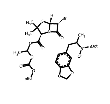 CCCCCCCC[S+]([O-])C(C)Cc1ccc2c(c1)OCO2.CCCCOC(=O)OC(C)OC(=O)[C@@H]1N2C(=O)[C@@H](Br)[C@H]2SC1(C)C